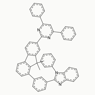 CC1(C)c2cc(-c3nc(-c4ccccc4)cc(-c4ccccc4)n3)ccc2-c2cccc(-c3cccc(-c4nc5ccccc5n4-c4ccccc4)c3)c21